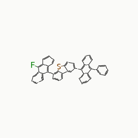 Fc1c2ccccc2c(-c2cccc3c2sc2ccc(-c4c5ccccc5c(-c5ccccc5)c5ccccc45)cc23)c2ccccc12